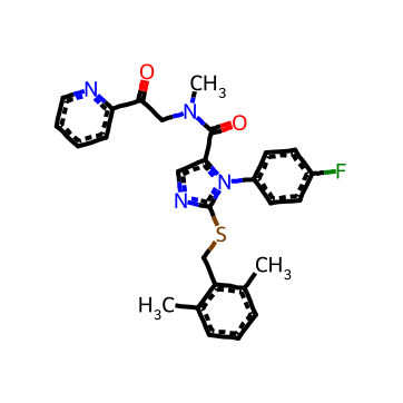 Cc1cccc(C)c1CSc1ncc(C(=O)N(C)CC(=O)c2ccccn2)n1-c1ccc(F)cc1